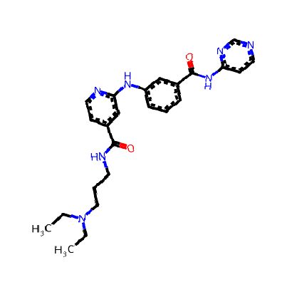 CCN(CC)CCCNC(=O)c1ccnc(Nc2cccc(C(=O)Nc3ccncn3)c2)c1